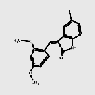 COc1ccc(C=C2C(=O)Nc3ccc(I)cc32)c(OC)c1